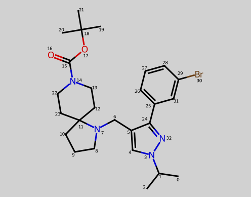 CC(C)n1cc(CN2CCCC23CCN(C(=O)OC(C)(C)C)CC3)c(-c2cccc(Br)c2)n1